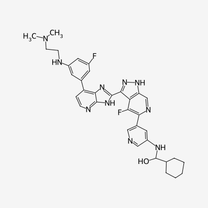 CN(C)CCNc1cc(F)cc(-c2ccnc3[nH]c(-c4n[nH]c5cnc(-c6cncc(NC(O)C7CCCCC7)c6)c(F)c45)nc23)c1